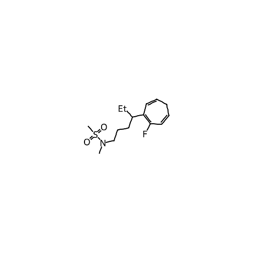 CCC(CCCN(C)S(C)(=O)=O)C1=C(F)C=CCC=C1